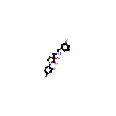 Cc1ccc(N2CCC(O)(C(=O)NCc3cc(F)cc(Cl)c3)C2=O)c(F)c1